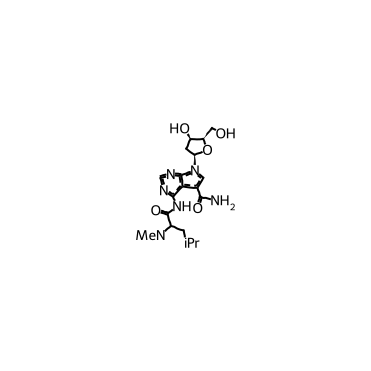 CNC(CC(C)C)C(=O)Nc1ncnc2c1c(C(N)=O)cn2[C@H]1C[C@@H](O)[C@@H](CO)O1